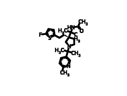 CC(=O)NC(C)(C)[C@@]1(CCc2ccc(F)s2)CCN(C(C)(C)c2ccc(C)nc2)C1